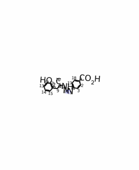 O=C(O)c1ccc(/N=N\N[C@@H](Cc2ccccc2)C(=O)O)cc1